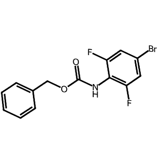 O=C(Nc1c(F)cc(Br)cc1F)OCc1ccccc1